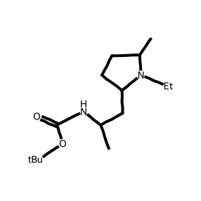 CCN1C(C)CCC1CC(C)NC(=O)OC(C)(C)C